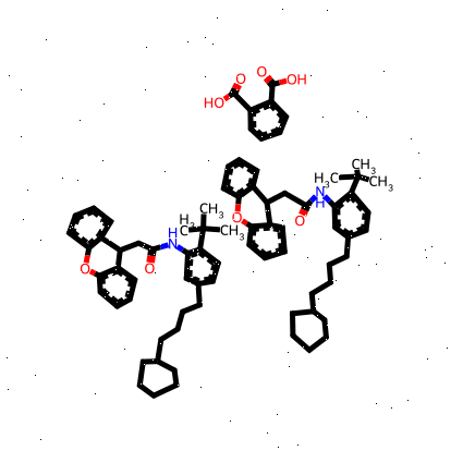 CC(C)(C)c1ccc(CCCCC2CCCCC2)cc1NC(=O)CC1c2ccccc2Oc2ccccc21.CC(C)(C)c1ccc(CCCCC2CCCCC2)cc1NC(=O)CC1c2ccccc2Oc2ccccc21.O=C(O)c1ccccc1C(=O)O